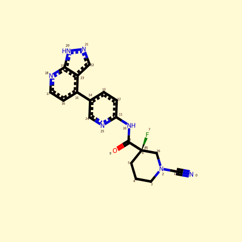 N#CN1CCC[C@](F)(C(=O)Nc2ccc(-c3ccnc4[nH]ncc34)cn2)C1